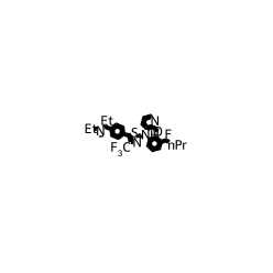 CCCC(F)c1ccccc1Oc1ncccc1Nc1nc(C(F)(F)F)c(-c2ccc(C(CC)N(C)CC)cc2)s1